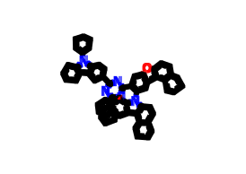 c1ccc(-c2nc(-c3ccc4c(c3)c3ccccc3n4-c3ccccc3)nc(-c3cc4oc5ccc6ccccc6c5c4cc3-n3c4cc5ccccc5cc4c4c5ccccc5ccc43)n2)cc1